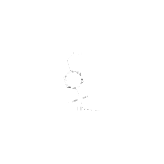 CC(C)(C)Cc1ccc(S(=O)(=O)NO)cc1